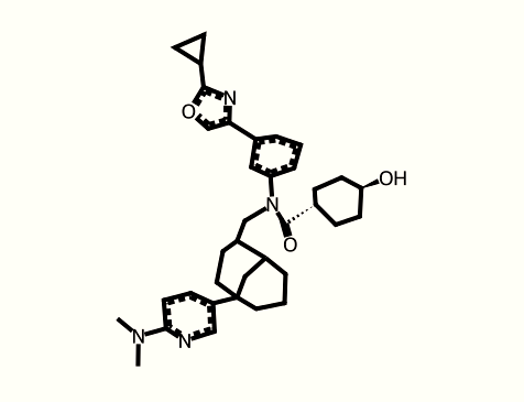 CN(C)c1ccc(C23CCCC(C2)C(CN(c2cccc(-c4coc(C5CC5)n4)c2)C(=O)[C@H]2CC[C@H](O)CC2)CC3)cn1